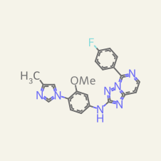 COc1cc(Nc2nc3ccnc(-c4ccc(F)cc4)n3n2)ccc1-n1cnc(C)c1